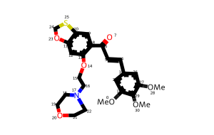 COc1cc(C=CC(=O)c2cc3c(cc2OCCN2CCOCC2)OCS3)cc(OC)c1OC